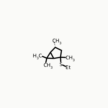 CCSC1(C)C[C@@H](C)C2C1C2(C)C